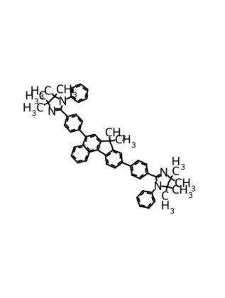 CC1(C)c2cc(-c3ccc(C4=NC(C)(C)C(C)(C)N4c4ccccc4)cc3)ccc2-c2c1cc(-c1ccc(C3=NC(C)(C)C(C)(C)N3c3ccccc3)cc1)c1ccccc21